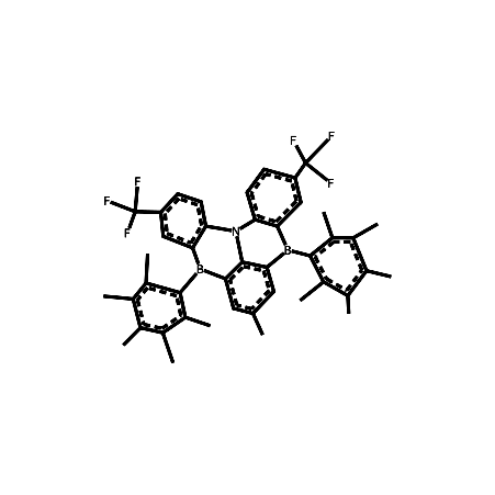 Cc1cc2c3c(c1)B(c1c(C)c(C)c(C)c(C)c1C)c1cc(C(F)(F)F)ccc1N3c1ccc(C(F)(F)F)cc1B2c1c(C)c(C)c(C)c(C)c1C